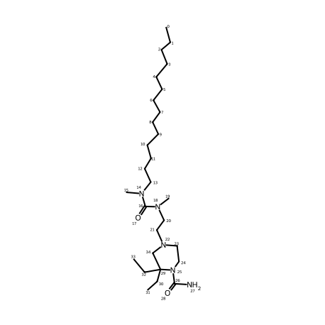 CCCCCCCCCCCCCCN(C)C(=O)N(C)CCN1CCN(C(N)=O)C(CC)(CC)C1